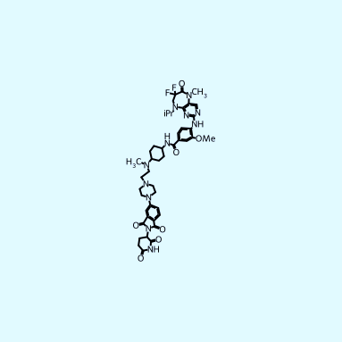 COc1cc(C(=O)NC2CCC(N(C)CCN3CCN(c4ccc5c(c4)C(=O)N(C4CCC(=O)NC4=O)C5=O)CC3)CC2)ccc1Nc1ncc2c(n1)N(C(C)C)CC(F)(F)C(=O)N2C